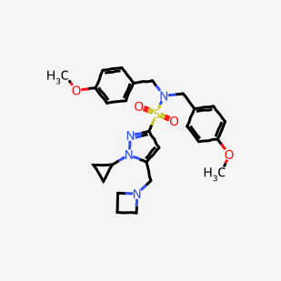 COc1ccc(CN(Cc2ccc(OC)cc2)S(=O)(=O)c2cc(CN3CCC3)n(C3CC3)n2)cc1